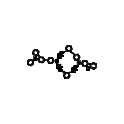 c1ccc(-n2c3ccccc3c3cc(-c4ccc(N5c6ccc(cc6)-c6ccccc6-c6ccc(cc6)N(c6ccc7c(c6)oc6ccccc67)c6ccc(cc6)-c6ccccc6-c6ccc5cc6)cc4)ccc32)cc1